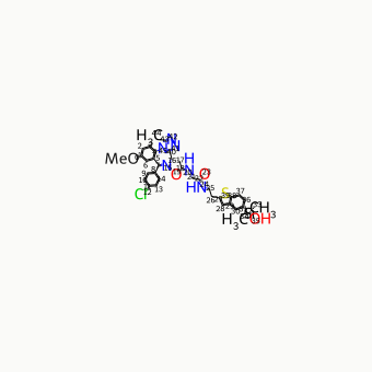 COc1ccc2c(c1)C(c1ccc(Cl)cc1)=N[C@@H](CC(=O)NCC(=O)NCCc1cc3cc([Si](C)(C)O)ccc3s1)c1nnc(C)n1-2